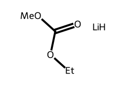 CCOC(=O)OC.[LiH]